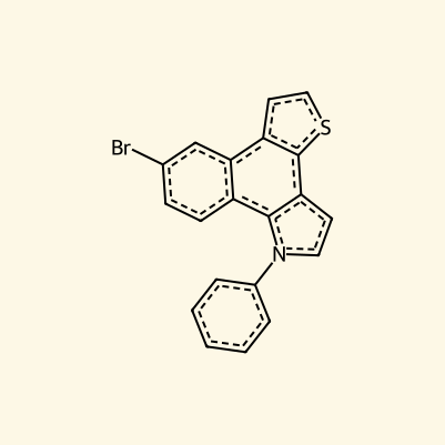 Brc1ccc2c(c1)c1ccsc1c1ccn(-c3ccccc3)c21